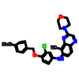 COc1ccc(COc2ccc(Nc3ccc4ncc(N5CCOCC5)nc4c3C#N)cc2Cl)cc1